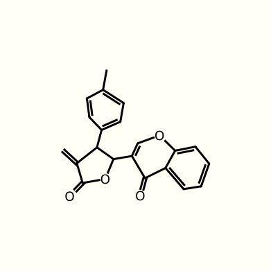 C=C1C(=O)OC(c2coc3ccccc3c2=O)C1c1ccc(C)cc1